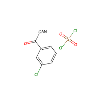 COC(=O)c1cccc(Cl)c1.O=S(=O)(Cl)Cl